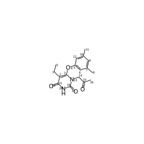 CCc1c(Oc2cc(C)cc(C)c2)n(CC(C)=O)c(=O)[nH]c1=O